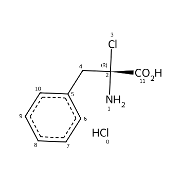 Cl.N[C@@](Cl)(Cc1ccccc1)C(=O)O